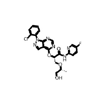 C[C@H](CO)OC[C@H](Oc1ncnc2c1cnn2-c1ccccc1Cl)C(=O)Nc1ccc(F)cn1